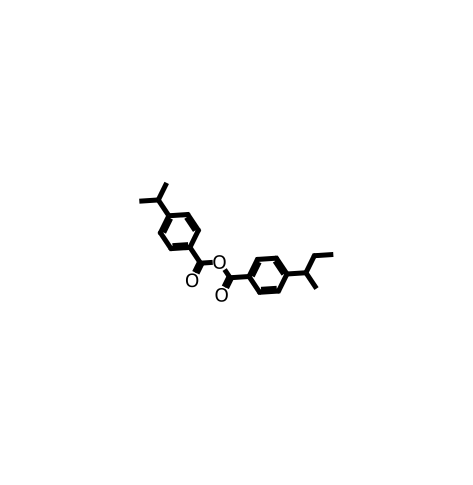 CCC(C)c1ccc(C(=O)OC(=O)c2ccc(C(C)C)cc2)cc1